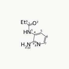 CCC(=O)Nc1cccnc1N